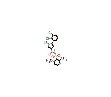 CCC1C=C(C(=O)NS(=O)(=O)c2c(C)cccc2C)C=C1c1cccc(Cl)c1Cl